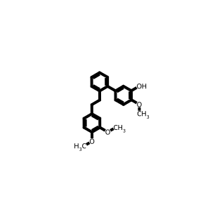 COc1ccc(-c2ccccc2CCc2ccc(OC)c(OC)c2)cc1O